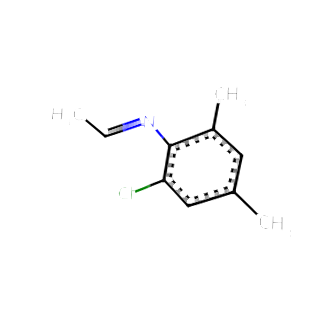 CC=Nc1c(C)cc(C)cc1Cl